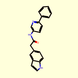 O=C(Cc1ccc2[nH]ccc2c1)Nc1ccc(-c2ccccc2)nc1